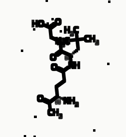 CC(=O)[C@@H](N)CCC(=O)N[C@@H](CC(C)(C)C)C(=O)NCC(=O)O